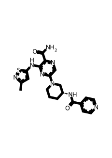 Cc1cc(Nc2nc(N3CCC[C@@H](NC(=O)c4ccncc4)C3)cnc2C(N)=O)sn1